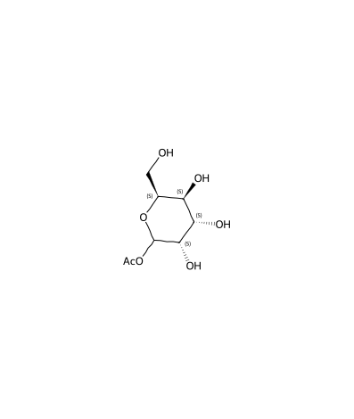 CC(=O)OC1O[C@@H](CO)[C@@H](O)[C@H](O)[C@@H]1O